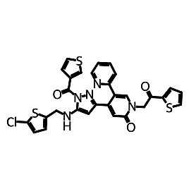 O=C(Cn1cc(-c2ccccn2)c(-c2cc(NCc3ccc(Cl)s3)n(C(=O)c3ccsc3)n2)cc1=O)c1cccs1